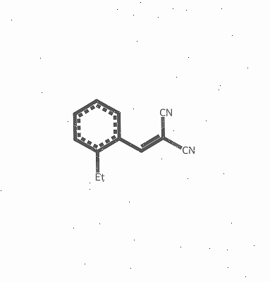 CCc1ccccc1C=C(C#N)C#N